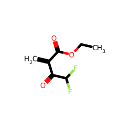 C=C(C(=O)OCC)C(=O)C(F)F